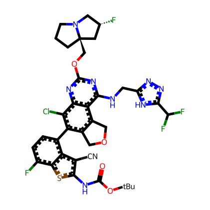 CC(C)(C)OC(=O)Nc1sc2c(F)ccc(-c3c4c(c5c(NCc6nnc(C(F)F)[nH]6)nc(OC[C@@]67CCCN6C[C@H](F)C7)nc5c3Cl)COC4)c2c1C#N